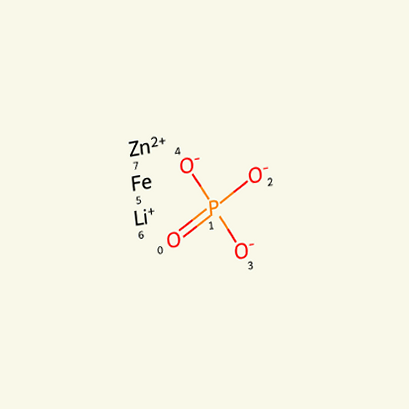 O=P([O-])([O-])[O-].[Fe].[Li+].[Zn+2]